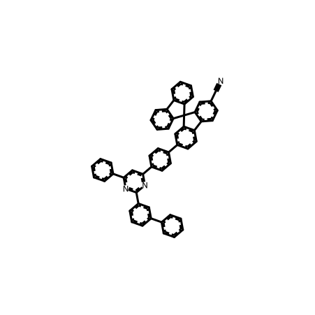 N#Cc1ccc2c(c1)C1(c3ccccc3-c3ccccc31)c1cc(-c3ccc(-c4cc(-c5ccccc5)nc(-c5cccc(-c6ccccc6)c5)n4)cc3)ccc1-2